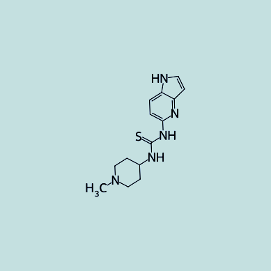 CN1CCC(NC(=S)Nc2ccc3[nH]ccc3n2)CC1